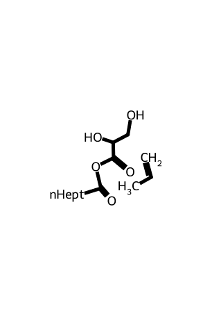 C=CC.CCCCCCCC(=O)OC(=O)C(O)CO